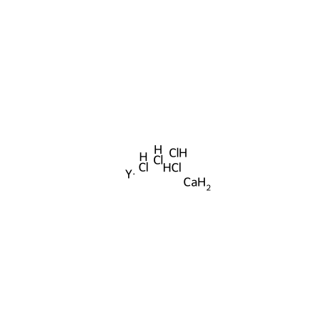 Cl.Cl.Cl.Cl.[CaH2].[Y]